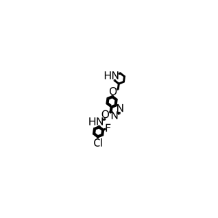 Fc1cc(Cl)ccc1NCOc1ncnc2cc(OCC3CCCNC3)ccc12